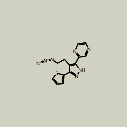 [N-]=[N+]=NCCc1c(-c2cccs2)n[nH]c1-c1cnccn1